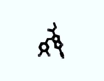 COC(=O)c1cc2oc(C#N)cc2n1Cc1ccc(Cl)c(Cl)c1